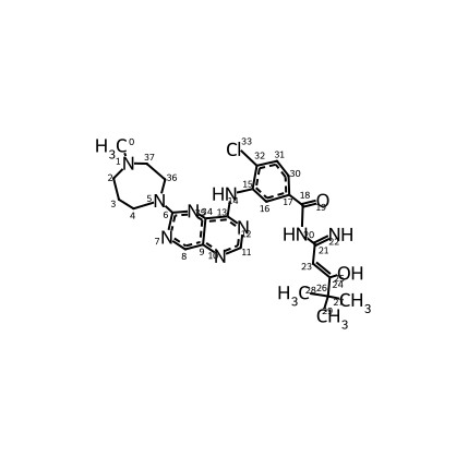 CN1CCCN(c2ncc3ncnc(Nc4cc(C(=O)NC(=N)/C=C(\O)C(C)(C)C)ccc4Cl)c3n2)CC1